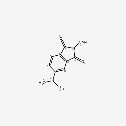 CON1C(=O)c2ccc(N(C)C)cc2C1=O